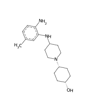 Cc1ccc(N)c(NC2CCN([C@H]3CC[C@@H](O)CC3)CC2)c1